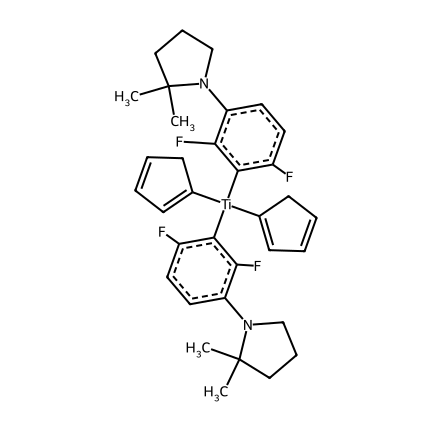 CC1(C)CCCN1c1ccc(F)[c]([Ti]([C]2=CC=CC2)([C]2=CC=CC2)[c]2c(F)ccc(N3CCCC3(C)C)c2F)c1F